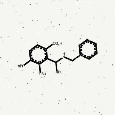 CCCCc1c(CCC)ccc(C(=O)O)c1C(CCCC)NCc1ccccc1